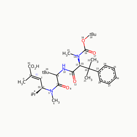 C/C(=C\[C@H](C(C)C)N(C)C(=O)C(NC(=O)[C@@H](N(C)C(=O)OC(C)(C)C)C(C)(C)c1ccccc1)C(C)(C)C)C(=O)O